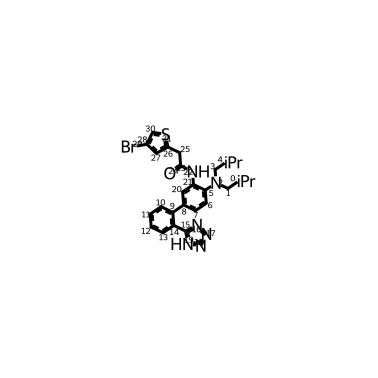 CC(C)CN(CC(C)C)c1ccc(-c2ccccc2-c2nnn[nH]2)cc1NC(=O)Cc1cc(Br)cs1